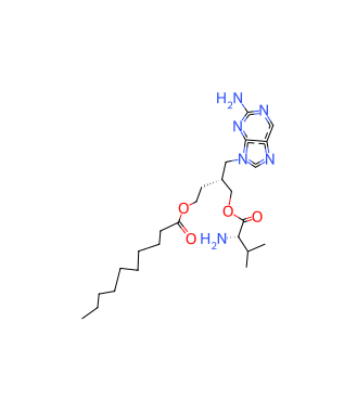 CCCCCCCCCC(=O)OCC[C@@H](COC(=O)[C@@H](N)C(C)C)Cn1cnc2cnc(N)nc21